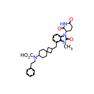 Cn1c(=O)n(C2CCC(=O)NC2=O)c2cccc(CC3CC4(CCC(N(CCc5ccccc5)C(=O)O)CC4)C3)c21